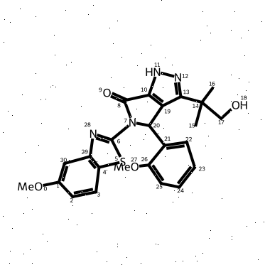 COc1ccc2sc(N3C(=O)c4[nH]nc(C(C)(C)CO)c4C3c3ccccc3OC)nc2c1